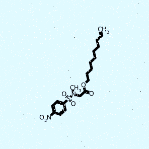 C=CCCCCCCCCOC(=O)CN(C)S(=O)(=O)c1ccc([N+](=O)[O-])cc1